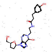 O=C(CCc1ccc(O)cc1)NCCN1C=Nc2c(ncn2[C@H]2CC[C@@H](CO)O2)C1O